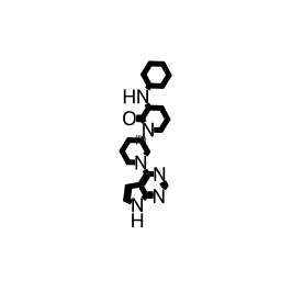 O=C1C(NC2CCCCC2)CCCN1[C@@H]1CCCN(c2ncnc3[nH]ccc23)C1